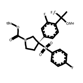 COC(C)(c1ccc([C@]2(S(=O)(=O)c3ccc(F)cc3)CCN(C(=O)OC(C)(C)C)C2)cc1F)C(F)(F)F